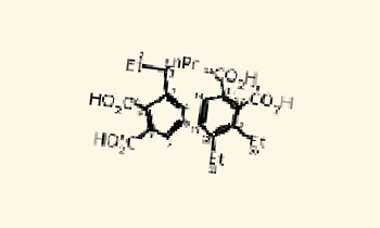 CCCC(CC)c1cccc(C(=O)O)c1C(=O)O.CCc1ccc(C(=O)O)c(C(=O)O)c1CC